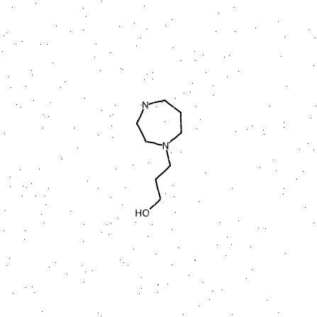 OCCCN1CCC[N]CC1